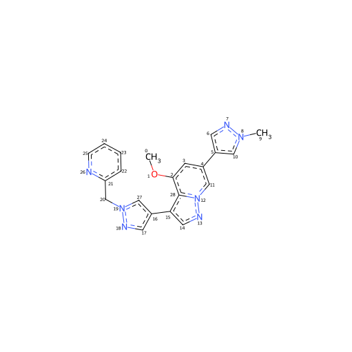 COc1cc(-c2cnn(C)c2)cn2ncc(-c3cnn(Cc4ccccn4)c3)c12